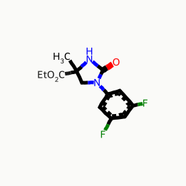 CCOC(=O)C1(C)CN(c2cc(F)cc(F)c2)C(=O)N1